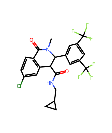 CN1C(=O)c2ccc(Cl)cc2C(C(=O)NCC2CC2)C1c1cc(C(F)(F)F)cc(C(F)(F)F)c1